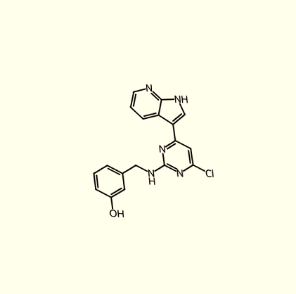 Oc1cccc(CNc2nc(Cl)cc(-c3c[nH]c4ncccc34)n2)c1